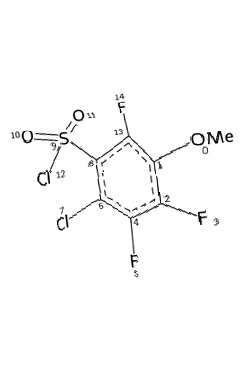 COc1c(F)c(F)c(Cl)c(S(=O)(=O)Cl)c1F